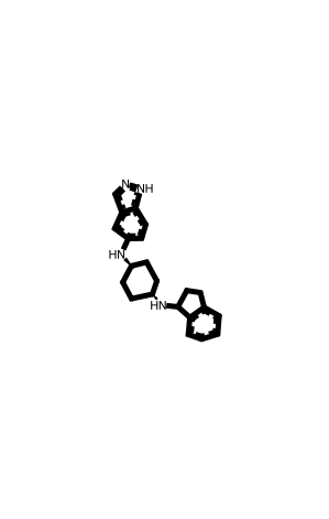 c1ccc2c(c1)CCC2N[C@H]1CC[C@H](Nc2ccc3[nH]ncc3c2)CC1